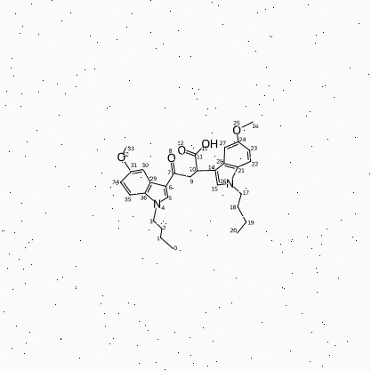 CCCCn1cc(C(=O)CC(C(=O)O)c2cn(CCCC)c3ccc(OC)cc23)c2cc(OC)ccc21